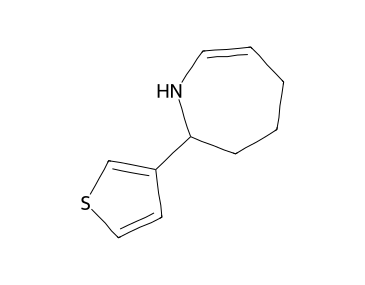 C1=CNC(c2ccsc2)CCC1